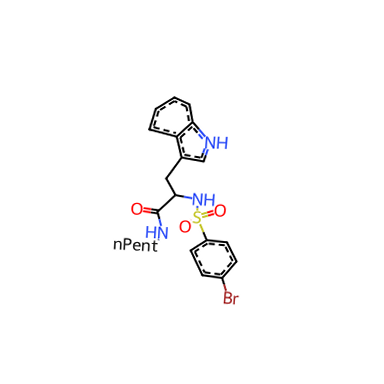 CCCCCNC(=O)C(Cc1c[nH]c2ccccc12)NS(=O)(=O)c1ccc(Br)cc1